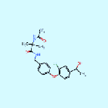 CC(O)c1ccc(Oc2ccc(CNC(=O)C(C)(C)NC(=O)C(F)(F)F)cc2)c(Cl)c1